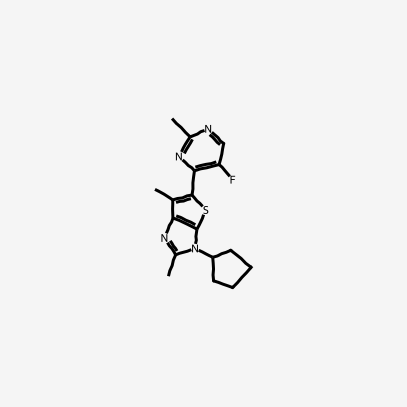 Cc1ncc(F)c(-c2sc3c(nc(C)n3C3CCCC3)c2C)n1